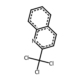 ClC(Cl)(Cl)c1ccc2ccccc2n1